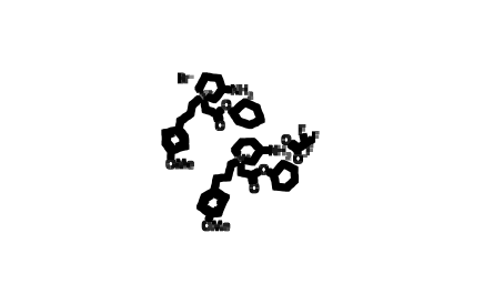 COc1ccc(CCC[N+]2(CC(=O)OC3CCCCC3)CCCC(N)C2)cc1.COc1ccc(CCC[N+]2(CC(=O)OC3CCCCC3)CCCC(N)C2)cc1.O=C([O-])C(F)(F)F.[Br-]